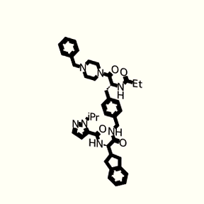 CCC(=O)N[C@H](Cc1ccc(CNC(=O)[C@@H](NC(=O)c2ccnn2C(C)C)C2Cc3ccccc3C2)cc1)C(=O)N1CCN(Cc2ccccc2)CC1